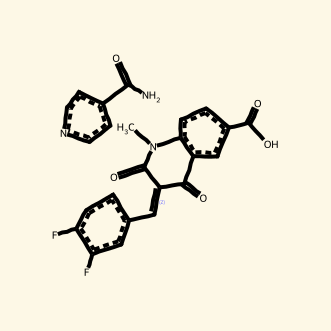 CN1C(=O)/C(=C\c2ccc(F)c(F)c2)C(=O)c2cc(C(=O)O)ccc21.NC(=O)c1ccncc1